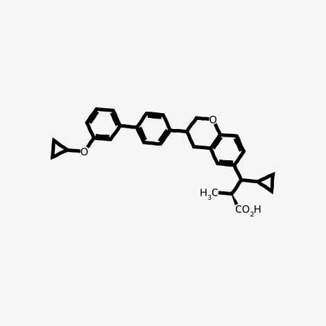 C[C@H](C(=O)O)C(c1ccc2c(c1)CC(c1ccc(-c3cccc(OC4CC4)c3)cc1)CO2)C1CC1